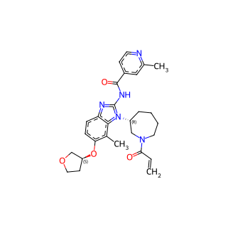 C=CC(=O)N1CCCC[C@@H](n2c(NC(=O)c3ccnc(C)c3)nc3ccc(O[C@H]4CCOC4)c(C)c32)C1